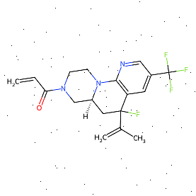 C=CC(=O)N1CCN2c3ncc(C(F)(F)F)cc3C(F)(C(=C)C)C[C@H]2C1